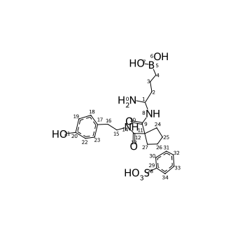 NC(CCCB(O)O)NC(=O)C1(C(=O)NCCc2ccc(O)cc2)CCCC1.O=S(=O)(O)c1ccccc1